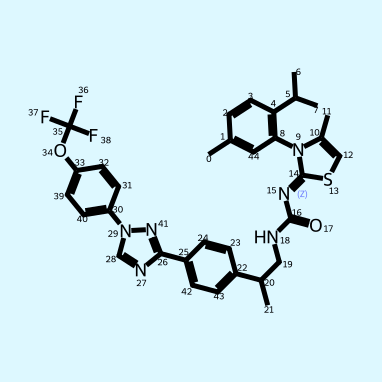 Cc1ccc(C(C)C)c(-n2c(C)cs/c2=N\C(=O)NCC(C)c2ccc(-c3ncn(-c4ccc(OC(F)(F)F)cc4)n3)cc2)c1